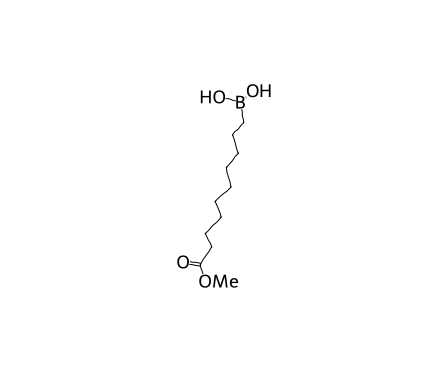 COC(=O)CCCCCCCCCB(O)O